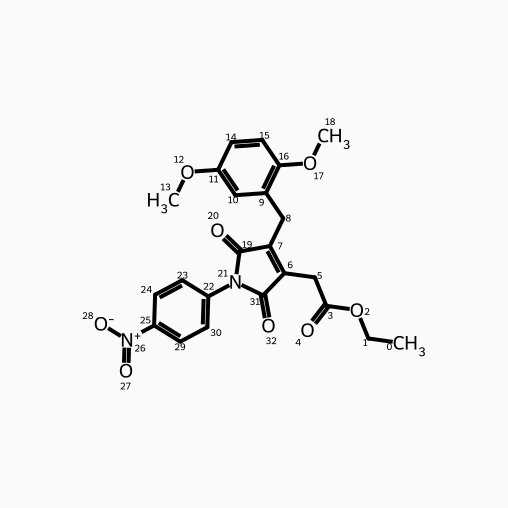 CCOC(=O)CC1=C(Cc2cc(OC)ccc2OC)C(=O)N(c2ccc([N+](=O)[O-])cc2)C1=O